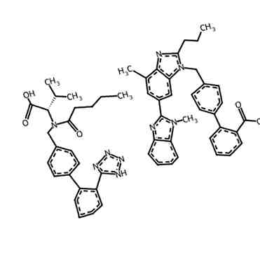 CCCCC(=O)N(Cc1ccc(-c2ccccc2-c2nnn[nH]2)cc1)[C@H](C(=O)O)C(C)C.CCCc1nc2c(C)cc(-c3nc4ccccc4n3C)cc2n1Cc1ccc(-c2ccccc2C(=O)O)cc1